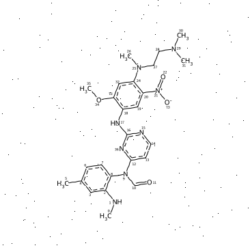 CNc1cc(C)ccc1N(C=O)c1ccnc(Nc2cc([N+](=O)[O-])c(N(C)CCN(C)C)cc2OC)n1